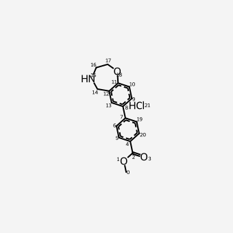 COC(=O)c1ccc(-c2ccc3c(c2)CNCCO3)cc1.Cl